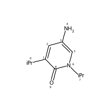 CC(C)c1cc(N)cn(C(C)C)c1=O